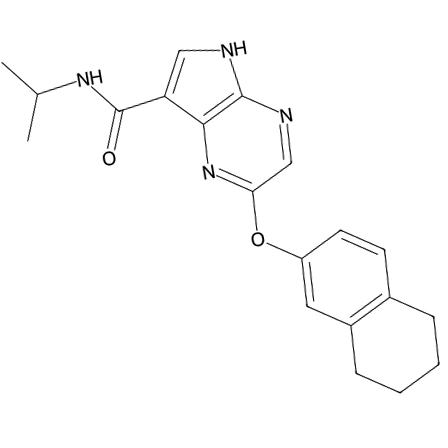 CC(C)NC(=O)c1c[nH]c2ncc(Oc3ccc4c(c3)CCCC4)nc12